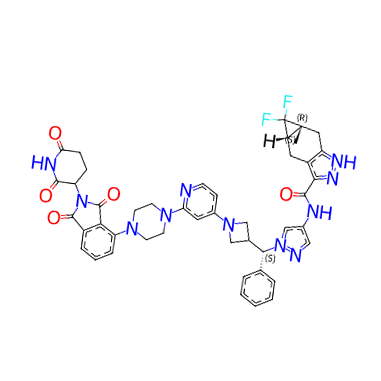 C[C@@]12Cc3[nH]nc(C(=O)Nc4cnn([C@H](c5ccccc5)C5CN(c6ccnc(N7CCN(c8cccc9c8C(=O)N(C8CCC(=O)NC8=O)C9=O)CC7)c6)C5)c4)c3C[C@@H]1C2(F)F